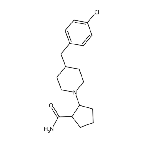 NC(=O)C1CCCC1N1CCC(Cc2ccc(Cl)cc2)CC1